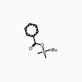 CCCC[Si](C)(C)OC(=O)c1ccccc1